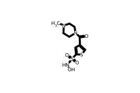 CN1CCN(C(=O)c2csc(S(=O)(=O)NO)c2)CC1